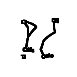 COC1CO1.COCCO.[Ti]